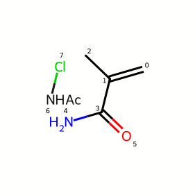 C=C(C)C(N)=O.CC(=O)NCl